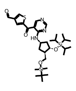 CC(C)[Si](O[C@H]1C[C@H](Nc2ncncc2C(=O)c2cc(C=O)cs2)C[C@@H]1CO[Si](C)(C)C(C)(C)C)(C(C)C)C(C)C